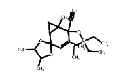 C#CC1(O[Si](CC)(CC)CC)C(C)=CC2(OC(C)C(C)O2)C2CC21C